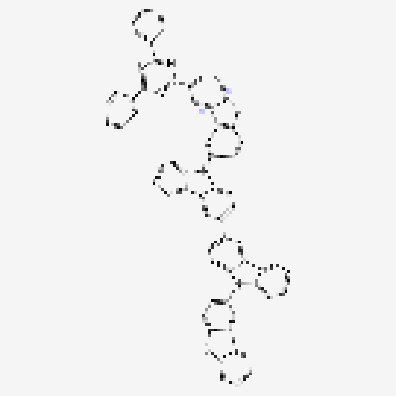 C=C(/C=c1\c(=C/C)oc2ccc(-n3c4ccccc4c4cc(-c5ccc6c(c5)c5ccccc5n6-c5ccc6sc7ccccc7c6c5)ccc43)cc12)c1nc(-c2ccccc2)nc(-c2ccccc2)n1